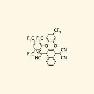 N#CC(C#N)=c1c(Oc2cc(C(F)(F)F)cc(C(F)(F)F)c2)c(Oc2cc(C(F)(F)F)cc(C(F)(F)F)c2)c(=C(C#N)C#N)c2ccccc12